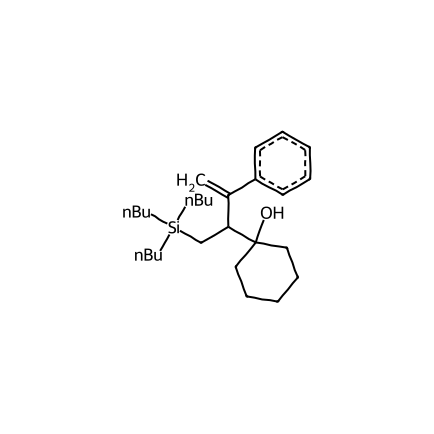 C=C(c1ccccc1)C(C[Si](CCCC)(CCCC)CCCC)C1(O)CCCCC1